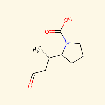 CC(CC=O)C1CCCN1C(=O)O